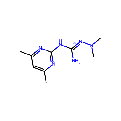 Cc1cc(C)nc(N/C(N)=N/N(C)C)n1